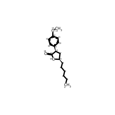 CCCCCC[C@@H]1C[C@H](c2ccc(OC)cc2)C(=O)O1